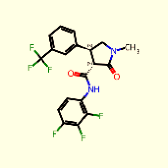 CN1C[C@H](c2cccc(C(F)(F)F)c2)[C@@H](C(=O)Nc2ccc(F)c(F)c2F)C1=O